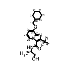 C[C@@H](CO)NC(=O)c1c(C(F)(F)F)nc2c(OCC3CCCCC3)cccn12